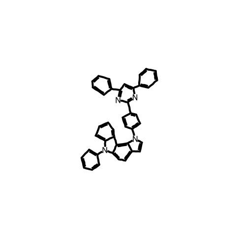 c1ccc(-c2cc(-c3ccccc3)nc(-c3ccc(-n4ccc5ccc6c(c7ccccc7n6-c6ccccc6)c54)cc3)n2)cc1